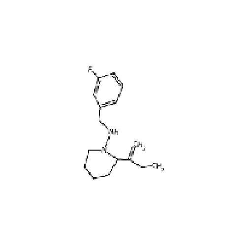 C=C(CC)C1CCCCN1NCc1cccc(F)c1